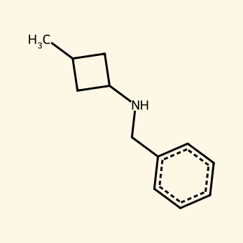 CC1CC(NCc2ccccc2)C1